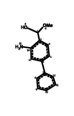 COC(O)c1ccc(-c2ccccc2)cc1N